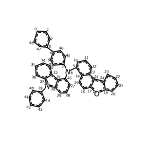 c1ccc(-c2ccc(N(c3cccc4c3ccc3oc5ccccc5c34)c3cccc4c3c3ccccc3n4-c3ccccc3)cc2)cc1